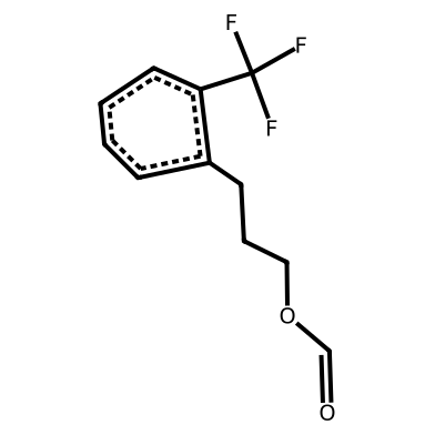 O=COCCCc1ccccc1C(F)(F)F